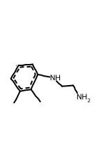 Cc1c[c]cc(NCCN)c1C